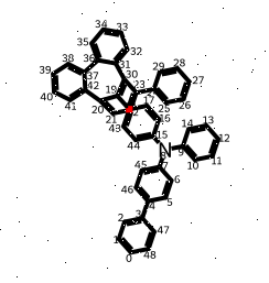 c1ccc(-c2ccc(N(c3ccccc3)c3ccc(-c4c5ccc(-c6ccccc6)c4-c4ccccc4-c4ccccc4-5)cc3)cc2)cc1